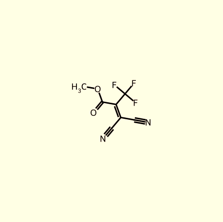 COC(=O)C(=C(C#N)C#N)C(F)(F)F